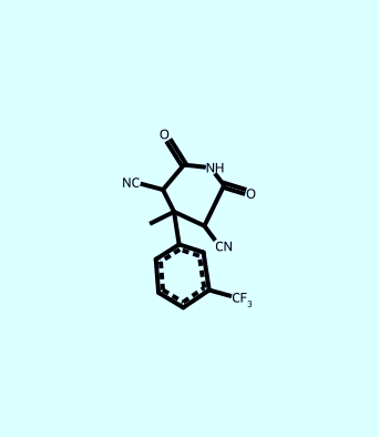 CC1(c2cccc(C(F)(F)F)c2)C(C#N)C(=O)NC(=O)C1C#N